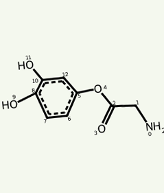 NCC(=O)Oc1ccc(O)c(O)c1